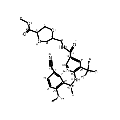 COC(=O)C1COC(CNC(=O)c2cnc(N[C@@H](C)c3cc(C#N)ccc3OC)c(C(F)(F)F)c2)CO1